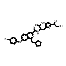 COC(=O)C(Cc1ccc(C(O)CO)s1)NC(=O)c1cc2ccc(Oc3ccc(C(C)(C)C)cc3)cc2c(CC2CCCC2)n1